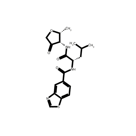 CC(C)C[C@H](NC(=O)c1ccc2scnc2c1)C(=O)N[C@@H]1C(=O)CO[C@@H]1C